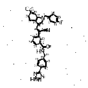 N#C/C(=C\c1cn(Cc2ccc(F)cc2)c2cc(Cl)ccc12)c1cccc(C(=O)NCc2ccc(-c3nn[nH]n3)cc2)c1